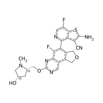 CN1C[C@@H](O)C[C@H]1COc1ncc2c3c(c(-c4ncc(F)c5sc(N)c(C#N)c45)c(F)c2n1)COC3